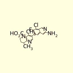 Cc1c(-c2cc3cc(N)ncc3c(Cl)c2F)cnc2c1N(C(=O)O)CCC2C